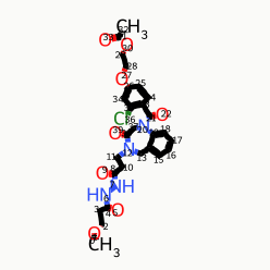 COCCC(=O)NNC(=O)CCN1Cc2ccccc2N(C(=O)c2ccc(OCCOC(C)=O)cc2Cl)CC1=O